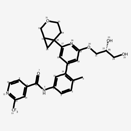 Cc1ccc(NC(=O)c2ccnc(C(F)(F)F)c2)cc1-c1cc(OC[C@H](O)CO)nc(C23CCOCC2C3)c1